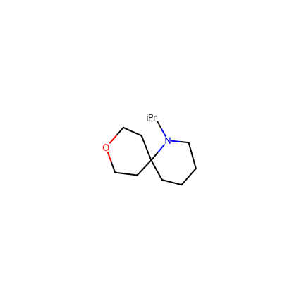 CC(C)N1CCCCC12CCOCC2